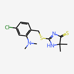 CN(C)c1cc(Cl)ccc1CSC1=NC(=S)C(C)(C)N1